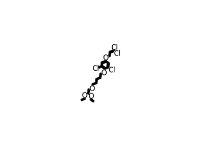 CCOC(COCCCCCOc1c(Cl)cc(OCC=C(Cl)Cl)cc1Cl)OCC